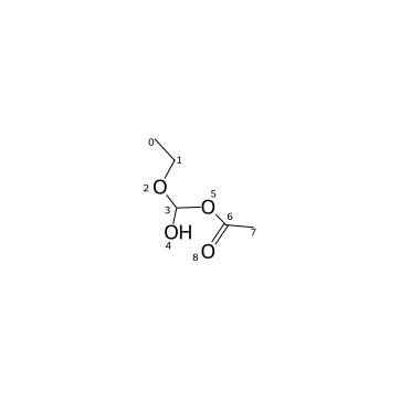 CCOC(O)OC(C)=O